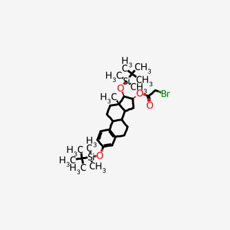 CC(C)(C)[Si](C)(C)Oc1ccc2c(c1)CCC1C2CC[C@@]2(C)C1C[C@@H](OC(=O)CBr)[C@@H]2O[Si](C)(C)C(C)(C)C